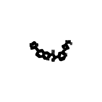 NC1CN(c2cc(C(=O)Nc3cc4cc(-c5cnco5)ccc4cn3)c#cn2)C1